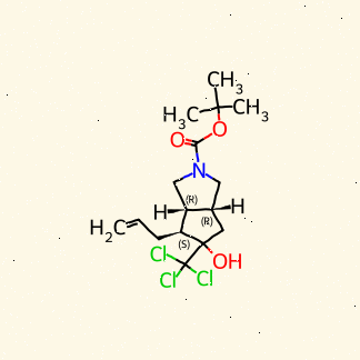 C=CC[C@H]1[C@@H]2CN(C(=O)OC(C)(C)C)C[C@@H]2CC1(O)C(Cl)(Cl)Cl